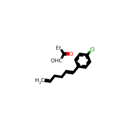 C=CCCC=Cc1ccc(Cl)cc1.CCC(=O)C=O